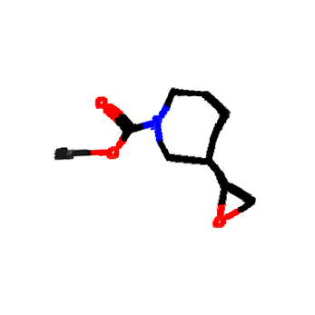 CC(C)(C)OC(=O)N1CCCC(C2CO2)C1